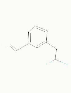 C=Cc1cccc([CH]C(F)F)c1